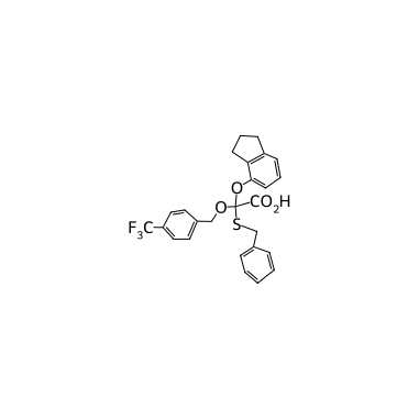 O=C(O)C(OCc1ccc(C(F)(F)F)cc1)(Oc1cccc2c1CCC2)SCc1ccccc1